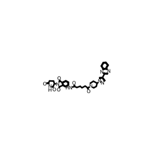 O=C1CCC(N2C(=O)c3ccc(NC(=O)CCCCC(=O)N4CCC(n5cc(-c6cnc7ccccc7n6)cn5)CC4)cc3C2=O)C(=O)N1